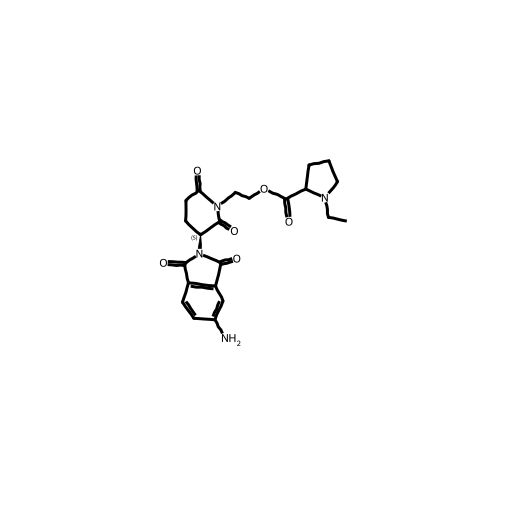 CCN1CCCC1C(=O)OCCN1C(=O)CC[C@H](N2C(=O)c3ccc(N)cc3C2=O)C1=O